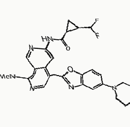 CNc1ncc(-c2nc3cc(N4CCOCC4)ccc3o2)c2cc(NC(=O)[C@H]3C[C@H]3C(F)F)ncc12